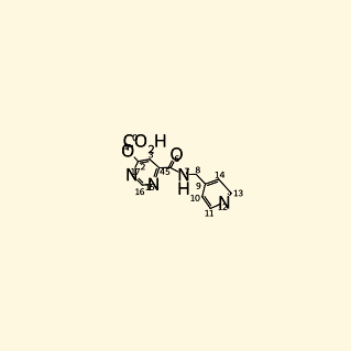 O=C(O)Oc1cc(C(=O)NCc2ccncc2)ncn1